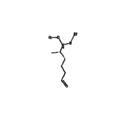 C=CCCCC(C)[SiH](OCC)OCC